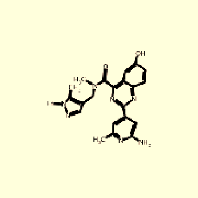 CCn1ncc(CN(C)C(=O)c2nc(-c3cc(C)nc(N)c3)nc3ccc(O)cc23)c1C